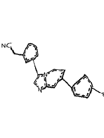 N#CCc1cccc(-c2cnc3cc(-c4ccc(F)cc4)ccn23)c1